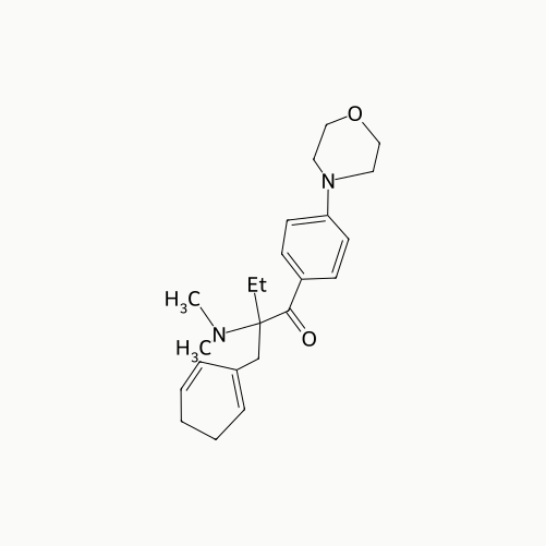 CCC(CC1=CCCC=C1)(C(=O)c1ccc(N2CCOCC2)cc1)N(C)C